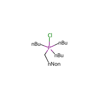 CCCCCCCCCCP(Cl)(CCCC)(CCCC)CCCC